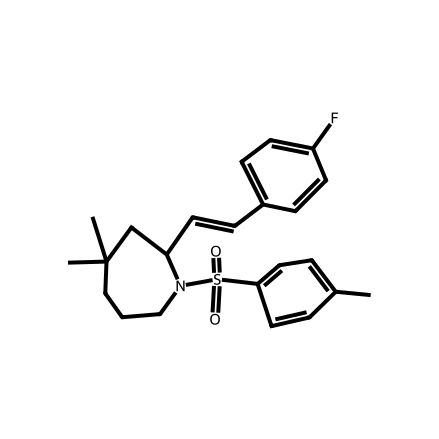 Cc1ccc(S(=O)(=O)N2CCCC(C)(C)CC2/C=C/c2ccc(F)cc2)cc1